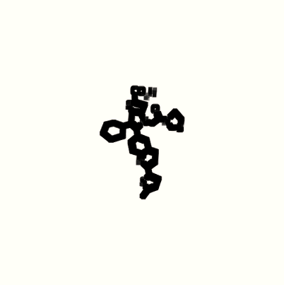 Cc1ccc(-c2ccc3cc(-c4c(C5CCCCC5)c5sc(C(=O)O)cc5n4CC(=O)N4CCSC4)ccc3n2)s1